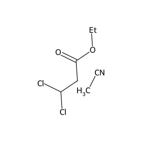 CC#N.CCOC(=O)CC(Cl)Cl